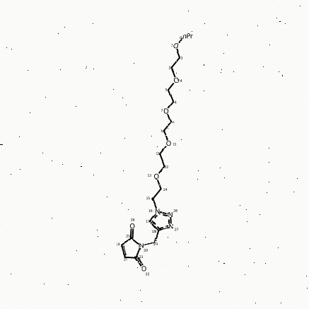 CCCOCCOCCOCCOCCOCCn1cc(CN2C(=O)C=CC2=O)nn1